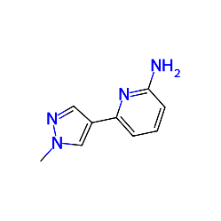 Cn1cc(-c2cccc(N)n2)cn1